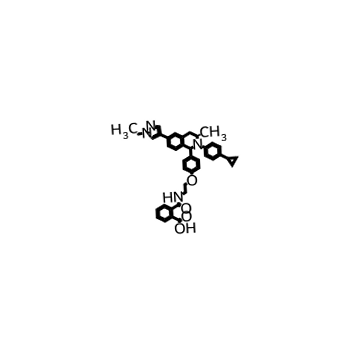 CCn1cc(-c2ccc3c(c2)C[C@@H](C)N(c2ccc(C4CC4)cc2)C3c2ccc(OCCNC(=O)c3ccccc3C(=O)O)cc2)cn1